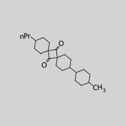 CCCC1CCC2(CC1)C(=O)C1(CCC(C3CCC(C)CC3)CC1)C2=O